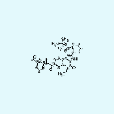 CCOC(=O)c1[nH]c([C@@H]2CCCCN2C(=O)OC(C)(C)C)nc1-c1ccc(C(=O)Nc2cc(CC)ccn2)cc1